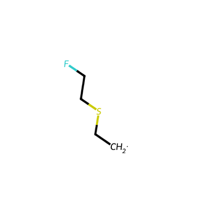 [CH2]CSCCF